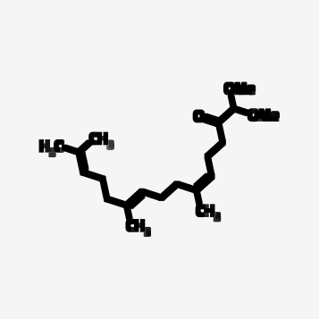 COC(OC)C(=O)CC/C=C(/C)CC/C=C(\C)CCC=C(C)C